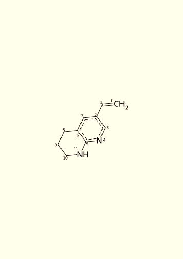 C=Cc1cnc2c(c1)CCCN2